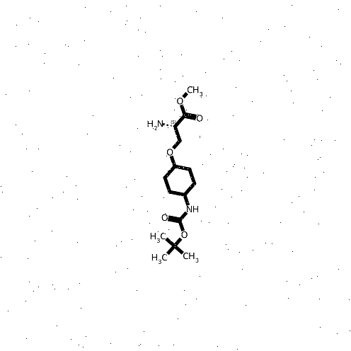 COC(=O)[C@@H](N)COC1CCC(NC(=O)OC(C)(C)C)CC1